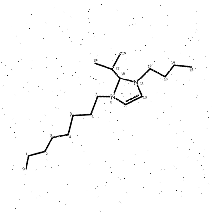 CCCCCCCCN1C=CN(CCCC)C1C(C)C